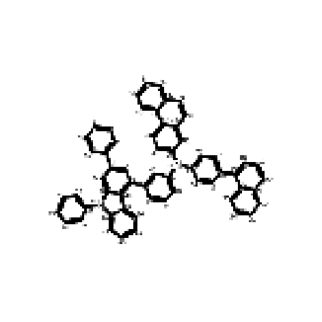 c1ccc(-c2cc(-c3cccc(N(c4ccc(-c5cccc6ccccc56)cc4)c4ccc5c(ccc6ccccc65)c4)c3)c3c4ccccc4n(-c4ccccc4)c3c2)cc1